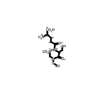 CCSN(CC(=O)O)C(=O)C(CS)NC(=O)CCC(N)C(=O)O